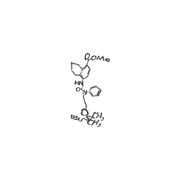 COC(=O)c1ccc(NCC(=O)N(CCO[Si](C)(C)C(C)(C)C)c2ccccc2)c2c1CCCC2